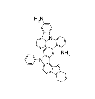 Nc1ccc2c(c1)c1ccccc1n2-c1cccc(N)c1-c1ccc2c(c1)c1c3sc4c(c3ccc1n2-c1ccccc1)CCC=C4